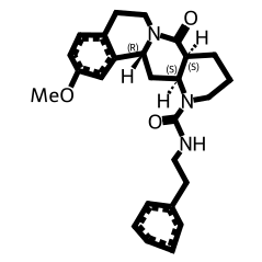 COc1ccc2c(c1)[C@H]1C[C@H]3[C@H](CCCN3C(=O)NCCc3ccccc3)C(=O)N1CC2